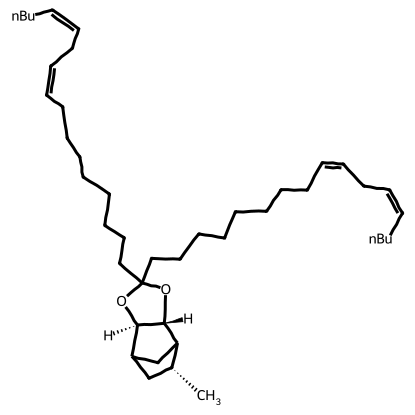 CCCC/C=C\C/C=C\CCCCCCCCC1(CCCCCCCC/C=C\C/C=C\CCCC)O[C@@H]2C3CC([C@H](C)C3)[C@H]2O1